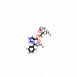 COC(C)COC(=O)c1cncn1[C@H](C)c1ccccc1